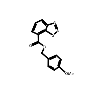 COc1ccc(COC(=O)c2cccc3nnsc23)cc1